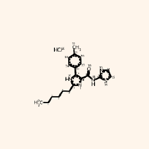 CCCCCCc1nc(C(=O)Nc2nccs2)c(-c2ccc(C)cc2)[nH]1.Cl